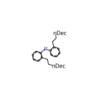 CCCCCCCCCCCCc1ccccc1[I+]c1ccccc1CCCCCCCCCCCC